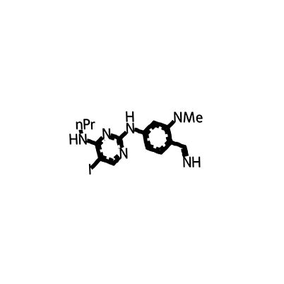 CCCNc1nc(Nc2ccc(C=N)c(NC)c2)ncc1I